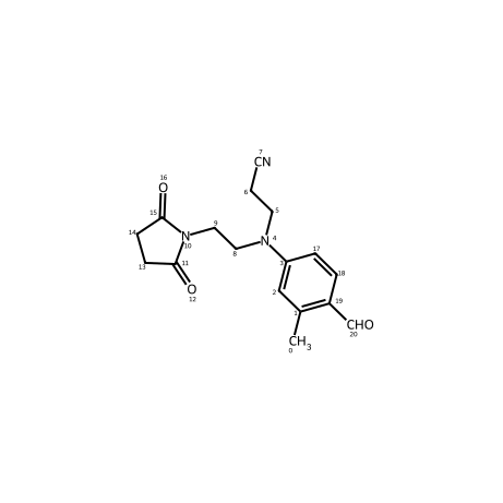 Cc1cc(N(CCC#N)CCN2C(=O)CCC2=O)ccc1C=O